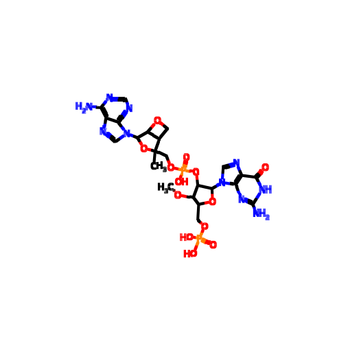 COC1C(COP(=O)(O)O)OC(n2cnc3c(=O)[nH]c(N)nc32)C1OP(=O)(O)OCC1(C)OC(n2cnc3c(N)ncnc32)C2OCC21